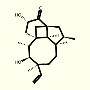 C=C[C@]1(C)CC[C@]2(C)[C@H](C)C[C@@]34C[C@](C[C@H](O)C3=O)([C@@H](C)[C@@H]1O)[C@@H]42